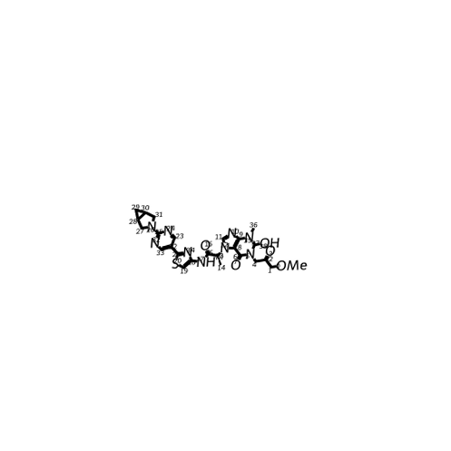 COCC(=O)CN1C(=O)c2c(ncn2[C@@H](C)C(=O)Nc2csc(-c3cnc(N4CC5CC5C4)nc3)n2)N(C)C1O